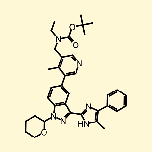 CCN(Cc1cncc(-c2ccc3c(c2)c(-c2nc(-c4ccccc4)c(C)[nH]2)nn3C2CCCCO2)c1C)C(=O)OC(C)(C)C